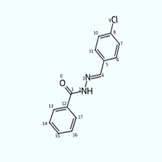 O=C(N/N=C/c1ccc(Cl)cc1)c1ccccc1